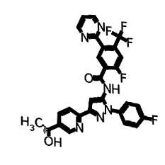 C[C@@H](O)c1ccc(-c2cc(NC(=O)c3cc(-c4ncccn4)c(C(F)(F)F)cc3F)n(-c3ccc(F)cc3)n2)nc1